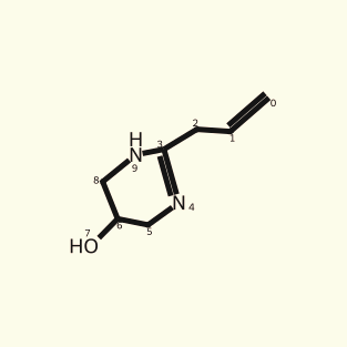 C=CCC1=NCC(O)CN1